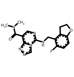 CN(C)C(=O)c1cnc(NCc2c(F)ccc3c2CCO3)n2cnnc12